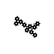 c1ccc(-c2cccc(-n3c4ccc5c6ccccc6oc5c4c4ccc5c(c6ccccc6n5-c5ccc(-c6ccc7c8ccccc8c8ccccc8c7c6)cc5)c43)c2)cc1